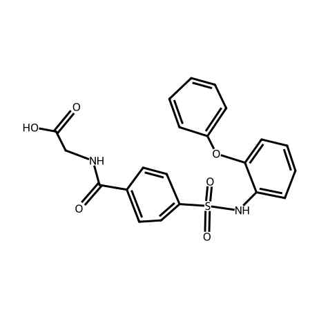 O=C(O)CNC(=O)c1ccc(S(=O)(=O)Nc2ccccc2Oc2ccccc2)cc1